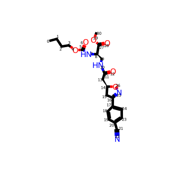 CCCCOC(=O)N[C@H](CNC(=O)C[C@@H]1CC(c2ccc(C#N)cc2)=NO1)C(=O)OC